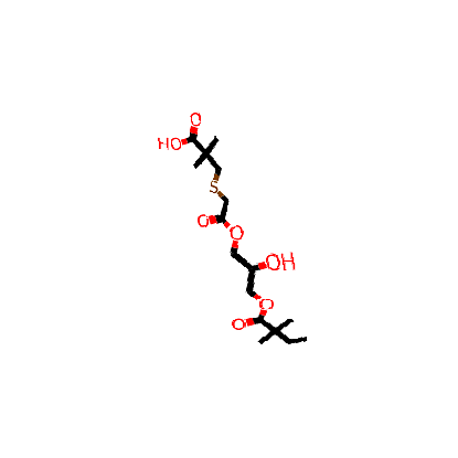 CCC(C)(C)C(=O)OCC(O)COC(=O)CSCC(C)(C)C(=O)O